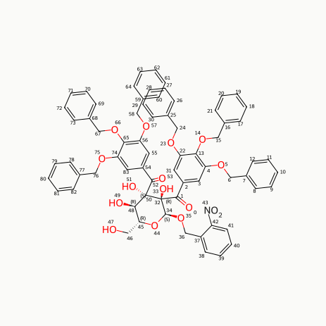 O=C(c1cc(OCc2ccccc2)c(OCc2ccccc2)c(OCc2ccccc2)c1)[C@]1(O)[C@@H](OCc2ccccc2[N+](=O)[O-])O[C@H](CO)[C@@H](O)[C@@]1(O)C(=O)c1cc(OCc2ccccc2)c(OCc2ccccc2)c(OCc2ccccc2)c1